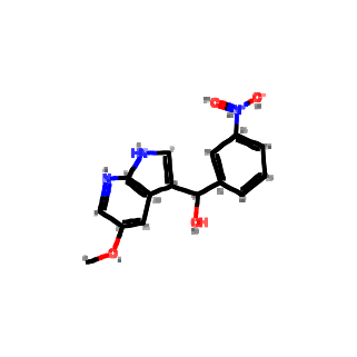 COc1cnc2[nH]cc(C(O)c3cccc([N+](=O)[O-])c3)c2c1